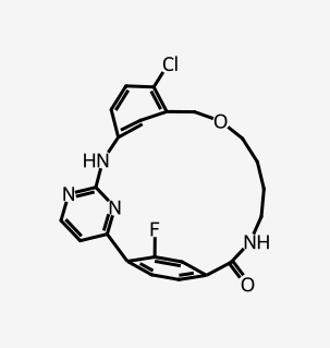 O=C1NCCCCOCc2cc(ccc2Cl)Nc2nccc(n2)-c2ccc1cc2F